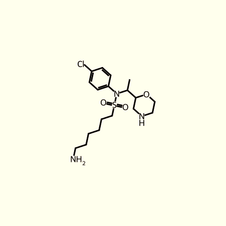 CC(C1CNCCO1)N(c1ccc(Cl)cc1)S(=O)(=O)CCCCCCN